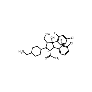 CC(C)(C)CC1N(C2CCC(CN)CC2)[C@H](C(N)=O)C(c2cccc(Cl)c2F)C1(C#N)c1ccc(Cl)cc1F